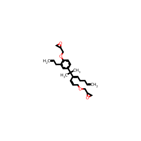 C=CCC/C=C(\C=C/COCC1CO1)C(C)(C)c1ccc(OCC2CO2)c(CC=C)c1